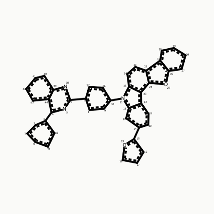 c1ccc(-c2nc(-c3ccc(-n4c5cc(-c6ccco6)ccc5c5c6oc7ccccc7c6ccc54)cc3)nc3ccccc23)cc1